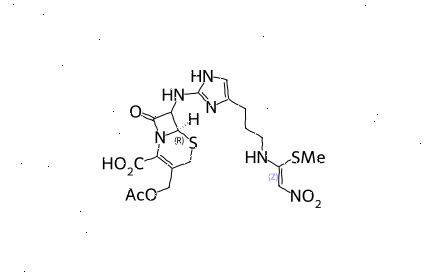 CS/C(=C\[N+](=O)[O-])NCCCc1c[nH]c(NC2C(=O)N3C(C(=O)O)=C(COC(C)=O)CS[C@H]23)n1